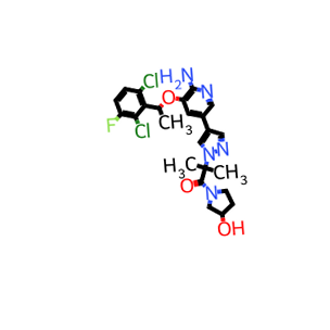 CC(Oc1cc(-c2cnn(C(C)(C)C(=O)N3CCC(O)C3)c2)cnc1N)c1c(Cl)ccc(F)c1Cl